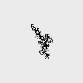 CCc1cc(OSF)c(F)cc1-c1ccc(C(=N)c2nc3c(n2SF)CN(C(=O)C2CC2)C3)c(NSF)c1